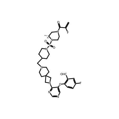 C=C(F)C(=O)N1CCN(S(=O)(=O)N2CCC(CN3CCC4(CC3)CN(c3ncncc3Oc3ccc(F)cc3C=O)C4)CC2)[C@H](C)C1